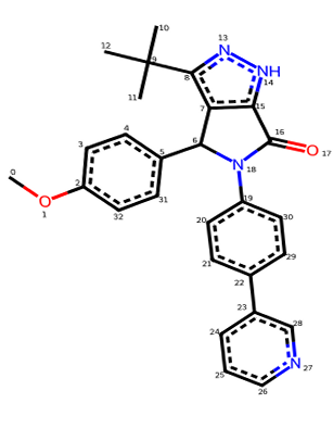 COc1ccc(C2c3c(C(C)(C)C)n[nH]c3C(=O)N2c2ccc(-c3cccnc3)cc2)cc1